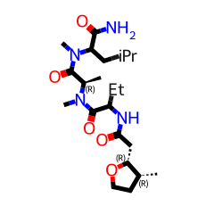 CCC(NC(=O)C[C@H]1OCC[C@H]1C)C(=O)N(C)[C@H](C)C(=O)N(C)C(CC(C)C)C(N)=O